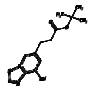 CC(C)(C)OC(=O)CCc1cc(O)c2ncnn2c1